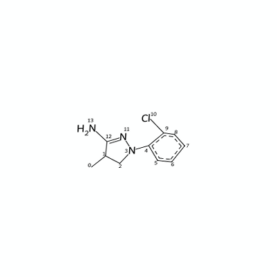 CC1CN(c2ccccc2Cl)N=C1N